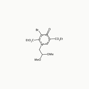 CCOC(=O)c1cn(CC(OC)OC)c(C(=O)OCC)c(Br)c1=O